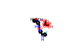 CN(C)C1(c2ccccc2)CCC(CNC(=O)ON2CCC(c3c[nH]c4ccc(F)cc34)CC2)CC1.O=C(O)CC(O)(CC(=O)O)C(=O)O